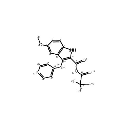 COc1ccc2[nH]c(C(=O)OC(=O)C(F)(F)F)c(Nc3ccncc3)c2c1